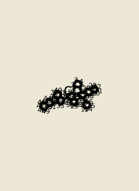 Clc1ccccc1-c1c2c(c(-c3ccccc3)c3cc4ccccc4cc13)-c1cccc3c(-c4ccc5c6c(cccc46)-c4cc6ccccc6cc4-5)ccc-2c13